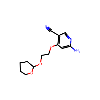 N#Cc1cnc(N)cc1OCCOC1CCCCO1